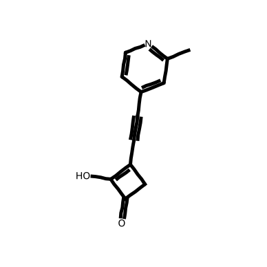 Cc1cc(C#CC2=C(O)C(=O)C2)ccn1